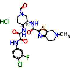 CN1CCc2nc(C(=O)N[C@@H]3CN(C=O)CC[C@@H]3NC(=O)C(=O)Nc3ccc(Cl)c(F)c3)sc2C1.Cl